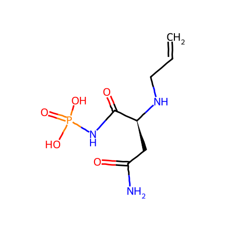 C=CCN[C@@H](CC(N)=O)C(=O)NP(=O)(O)O